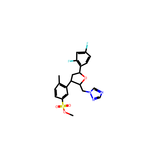 COS(=O)(=O)c1ccc(C)c(C2CC(c3ccc(F)cc3F)OC2Cn2cncn2)c1